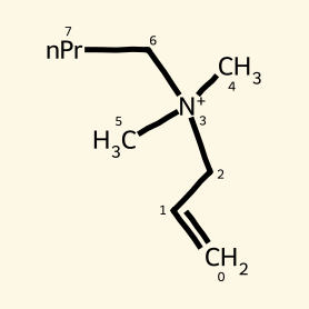 C=CC[N+](C)(C)CCCC